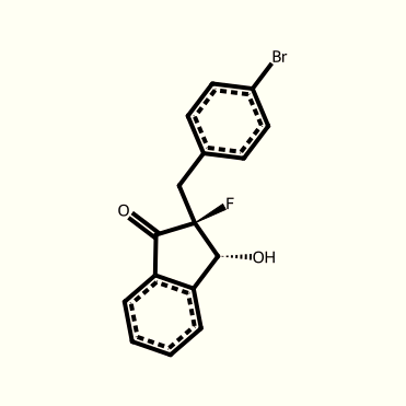 O=C1c2ccccc2[C@@H](O)[C@@]1(F)Cc1ccc(Br)cc1